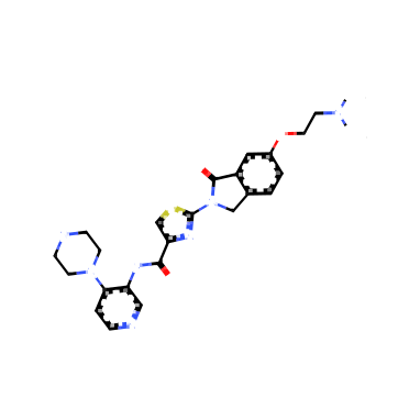 CN(C)CCOc1ccc2c(c1)C(=O)N(c1nc(C(=O)Nc3cnccc3N3CCNCC3)cs1)C2